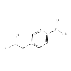 CCCC(CC)Cc1ccc(B(O)O)cc1